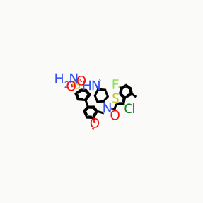 CN[C@H]1CC[C@H](N(Cc2cc(-c3ccc(S(N)(=O)=O)cc3)ccc2OC)C(=O)c2sc3c(F)ccc(C)c3c2Cl)CC1